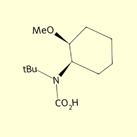 CO[C@H]1CCCC[C@H]1N(C(=O)O)C(C)(C)C